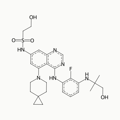 CC(C)(CO)Nc1cccc(Nc2ncnc3cc(NS(=O)(=O)CCO)cc(N4CCC5(CC4)CC5)c23)c1F